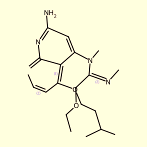 C=c1nc(N)cc(N(C)/C(COCC)=N\C)/c1=C(/C=C\C)OCCC(C)C